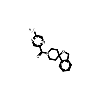 Cc1cnc(C(=O)N2CCC3(CC2)OCc2ccccc23)cn1